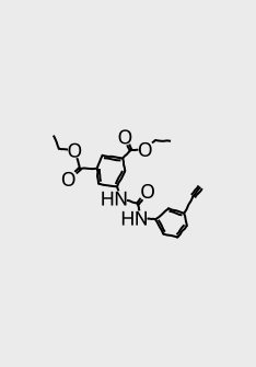 C#Cc1cccc(NC(=O)Nc2cc(C(=O)OCC)cc(C(=O)OCC)c2)c1